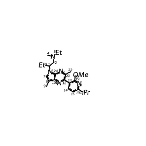 CCC(CN(C)CC)n1cc(C)c2nc(-c3ccc(C(C)C)nc3OC)c(C)nc21